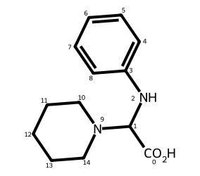 O=C(O)C(Nc1ccccc1)N1CCCCC1